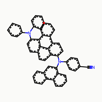 N#Cc1ccc(N(c2cc3ccccc3c3ccccc23)c2ccc3c4ccccc4c4c(N(c5ccccc5)c5ccccc5)ccc5ccc2c3c54)cc1